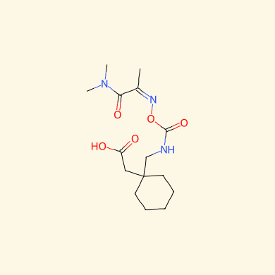 CC(=NOC(=O)NCC1(CC(=O)O)CCCCC1)C(=O)N(C)C